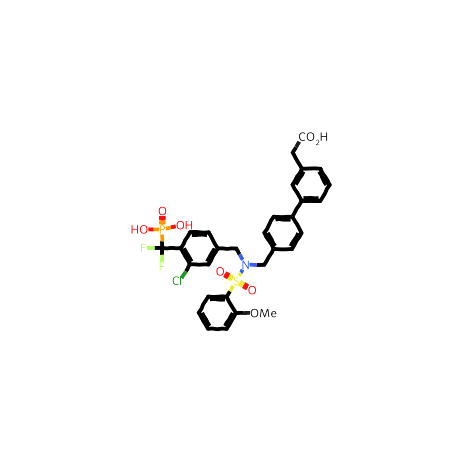 COc1ccccc1S(=O)(=O)N(Cc1ccc(-c2cccc(CC(=O)O)c2)cc1)Cc1ccc(C(F)(F)P(=O)(O)O)c(Cl)c1